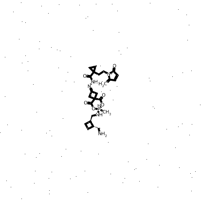 C=C1C=CC(=O)N1CCC1(C(=O)NN=C2CC3(C2)C(=O)O[PH](C)(NC[C@@H]2CC[C@H]2CN)OC3=O)CC1